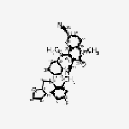 Cc1cc(F)ccc1N(CC1CCCO1)[C@H]1CC[C@H](N(C)c2c(C#N)c(=O)n(C)c3ccc(C#N)nc23)CC1